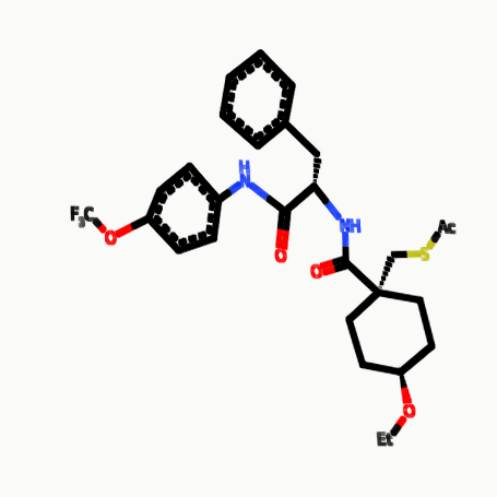 CCO[C@H]1CC[C@@](CSC(C)=O)(C(=O)N[C@@H](Cc2ccccc2)C(=O)Nc2ccc(OC(F)(F)F)cc2)CC1